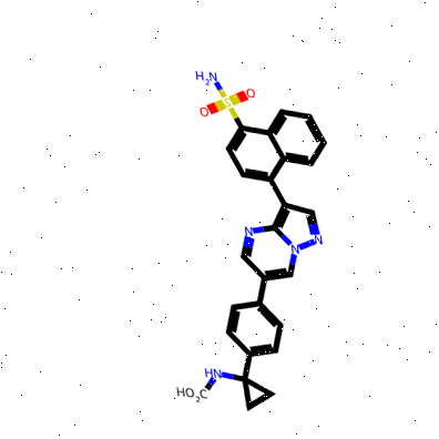 NS(=O)(=O)c1ccc(-c2cnn3cc(-c4ccc(C5(NC(=O)O)CC5)cc4)cnc23)c2ccccc12